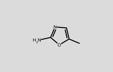 Cc1cnc(N)o1